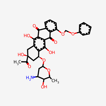 CC(=O)[C@]1(O)Cc2c(O)c3c(c(O)c2[C@@H](OC2CC(N)C(O)C(C)O2)C1)C(=O)c1c(OCOc2ccccc2)cccc1C3=O